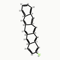 Fc1[c]c2cc3cc4cc5ccccc5cc4cc3cc2cc1